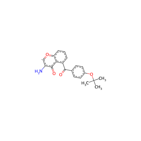 CC(C)(C)Oc1ccc(C(=O)c2cccc3o[c]c(N)c(=O)c23)cc1